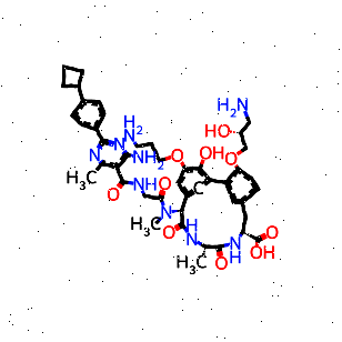 Cc1nc(-c2ccc(C3CCC3)cc2)nc(N)c1C(=O)NCC(=O)N(C)[C@@H]1C(=O)N[C@@H](C)C(=O)N[C@H](C(=O)O)Cc2ccc(OC[C@H](O)CN)c(c2)-c2cc1cc(OCCCN)c2O